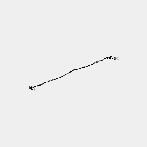 CCCCCCCCCCCCCCCCCCCCCCCCCCCCCCCCCCCCCCCCCCCCCCCCCCCCCCCCCCCCCCCCCCCCCCCCCCCCCCCCCCCCCCCCCCCCCCCCCCCCc1ncc[nH]1